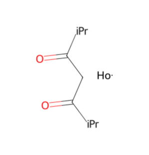 CC(C)C(=O)CC(=O)C(C)C.[Ho]